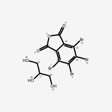 O=C1OC(=O)c2c(Br)c(Br)c(Br)c(Br)c21.OCC(O)CO